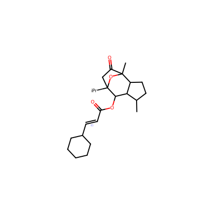 CC1CCC2C1C(OC(=O)/C=C/C1CCCCC1)C1(C(C)C)CC(=O)C2(C)O1